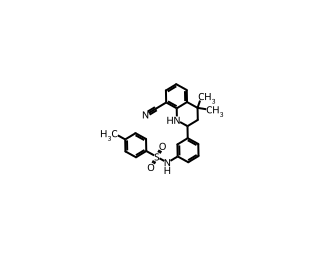 Cc1ccc(S(=O)(=O)Nc2cccc(C3CC(C)(C)c4cccc(C#N)c4N3)c2)cc1